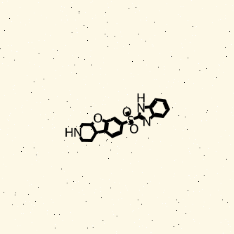 O=S(=O)(c1ccc2c(c1)OC1CNCCC21)c1nc2ccccc2[nH]1